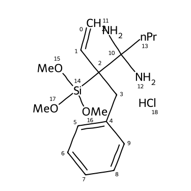 C=CC(Cc1ccccc1)(C(N)(N)CCC)[Si](OC)(OC)OC.Cl